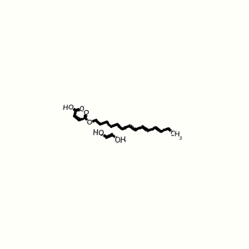 CCCCCCCCCCCCCCOC(=O)/C=C\C(=O)O.OCCO